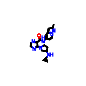 Cc1cc2cc(NC(=O)c3nccnc3N3CCC(NC4CC4)C3)ccn2n1